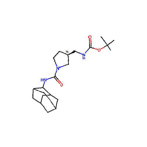 CC(C)(C)OC(=O)NC[C@@H]1CCN(C(=O)NC2C3CC4CC(C3)CC2C4)C1